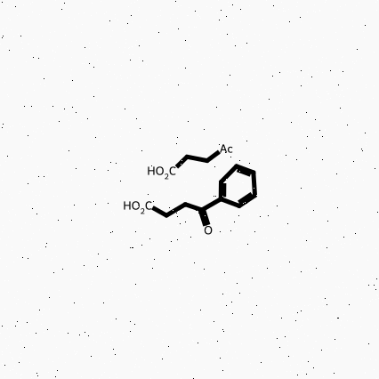 CC(=O)CCC(=O)O.O=C(O)CCC(=O)c1ccccc1